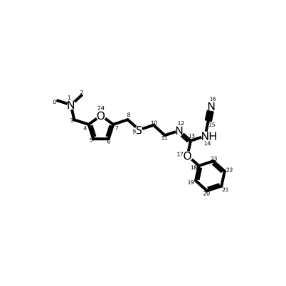 CN(C)Cc1ccc(CSCC/N=C(/NC#N)Oc2ccccc2)o1